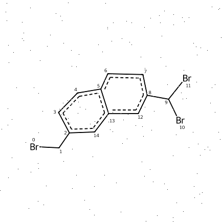 BrCc1ccc2ccc(C(Br)Br)cc2c1